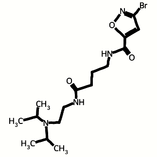 CC(C)N(CCNC(=O)CCCNC(=O)c1cc(Br)no1)C(C)C